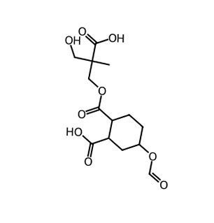 CC(CO)(COC(=O)C1CCC(OC=O)CC1C(=O)O)C(=O)O